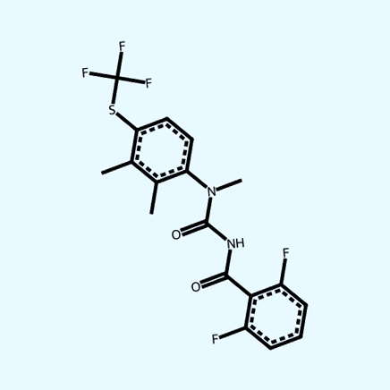 Cc1c(SC(F)(F)F)ccc(N(C)C(=O)NC(=O)c2c(F)cccc2F)c1C